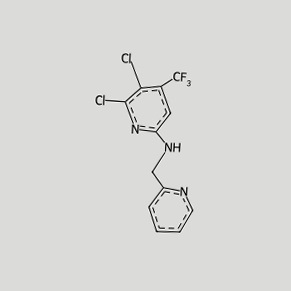 FC(F)(F)c1cc(NCc2ccccn2)nc(Cl)c1Cl